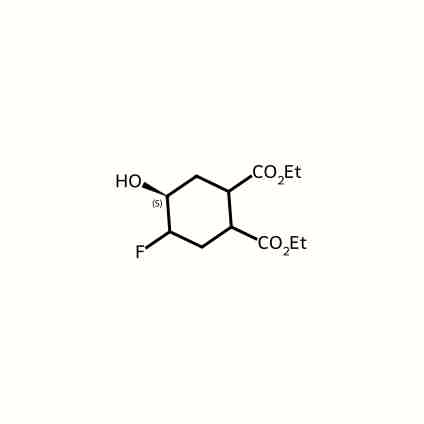 CCOC(=O)C1CC(F)[C@@H](O)CC1C(=O)OCC